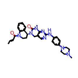 C/C=C/C(=O)N1CC[C@H](N2Cc3cnc(Nc4ccc(N5CCN(C)CC5)cc4)nc3N(C)C2=O)c2ccccc21